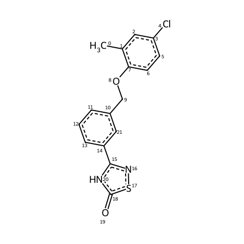 Cc1cc(Cl)ccc1OCc1cccc(-c2nsc(=O)[nH]2)c1